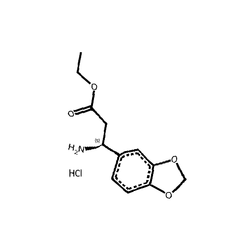 CCOC(=O)C[C@H](N)c1ccc2c(c1)OCO2.Cl